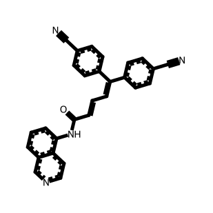 N#Cc1ccc(C(=C/C=C/C(=O)Nc2cccc3cnccc23)c2ccc(C#N)cc2)cc1